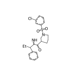 CCC(C(=N)C(=O)C1CCCN(S(=O)(=O)c2cccc(Cl)c2)C1)c1ccccc1